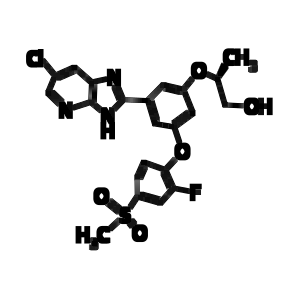 C[C@@H](CO)Oc1cc(Oc2ccc(S(C)(=O)=O)cc2F)cc(-c2nc3cc(Cl)cnc3[nH]2)c1